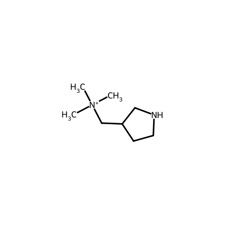 C[N+](C)(C)CC1CCNC1